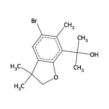 Cc1c(Br)cc2c(c1C(C)(C)O)OCC2(C)C